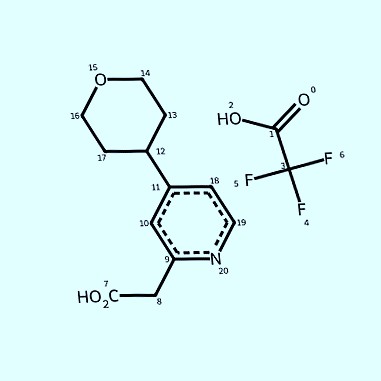 O=C(O)C(F)(F)F.O=C(O)Cc1cc(C2CCOCC2)ccn1